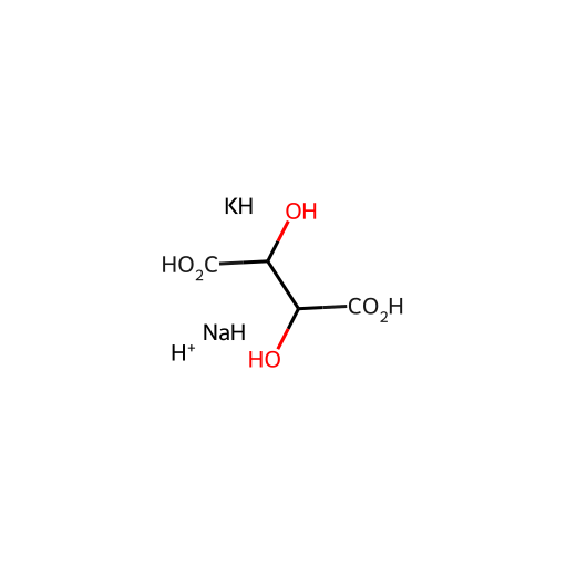 O=C(O)C(O)C(O)C(=O)O.[H+].[KH].[NaH]